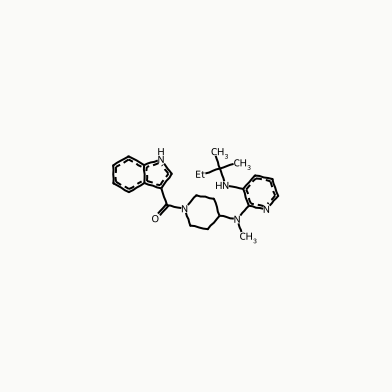 CCC(C)(C)Nc1cccnc1N(C)C1CCN(C(=O)c2c[nH]c3ccccc23)CC1